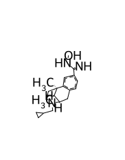 C[C@@H]1[C@H]2Cc3ccc(C(=N)NO)cc3[C@]1(C)CCN2CC1CC1